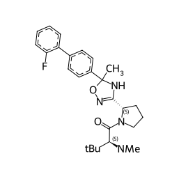 CN[C@H](C(=O)N1CCC[C@H]1C1=NOC(C)(c2ccc(-c3ccccc3F)cc2)N1)C(C)(C)C